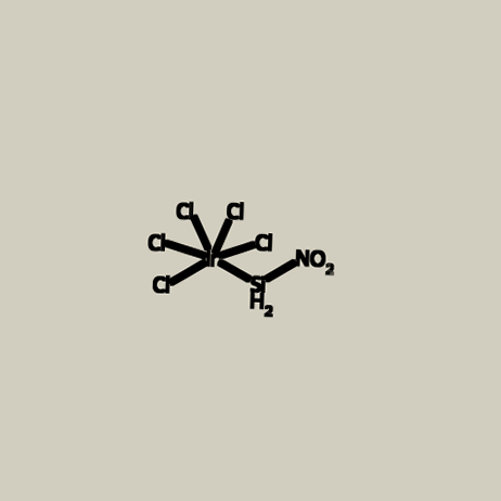 O=[N+]([O-])[SiH2][Ir]([Cl])([Cl])([Cl])([Cl])[Cl]